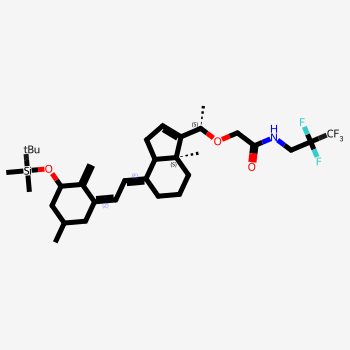 C=C1/C(=C\C=C2/CCC[C@]3(C)C([C@H](C)OCC(=O)NCC(F)(F)C(F)(F)F)=CCC23)CC(C)CC1O[Si](C)(C)C(C)(C)C